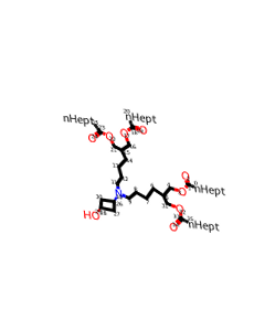 CCCCCCCC(=O)OCC(CCCCN(CCCCC(COC(=O)CCCCCCC)COC(=O)CCCCCCC)[C@H]1C[C@@H](O)C1)COC(=O)CCCCCCC